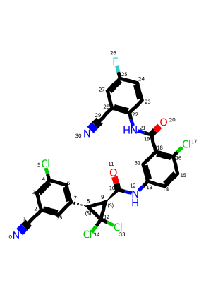 N#Cc1cc(Cl)cc([C@@H]2[C@@H](C(=O)Nc3ccc(Cl)c(C(=O)Nc4ccc(F)cc4C#N)c3)C2(Cl)Cl)c1